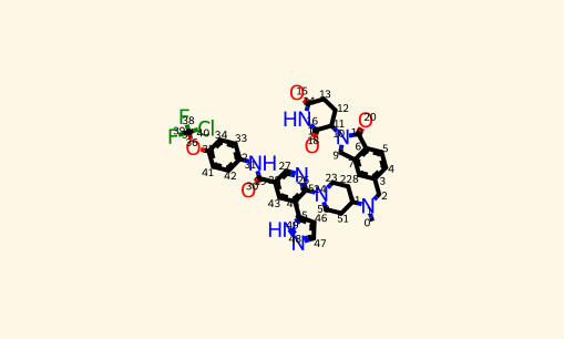 CN(Cc1ccc2c(c1)CN(C1CCC(=O)NC1=O)C2=O)C1CCN(c2ncc(C(=O)Nc3ccc(OC(F)(F)Cl)cc3)cc2-c2ccn[nH]2)CC1